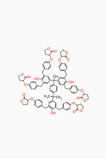 CC(C)(c1ccc(C(C)(c2cc(Cc3ccc(OC4CCOC4=O)cc3)c(O)c(Cc3ccc(OC4CCOC4=O)cc3)c2)c2cc(Cc3ccc(OC4CCOC4=O)cc3)c(O)c(Cc3ccc(OC4CCOC4=O)cc3)c2)cc1)c1cc(Cc2ccc(OC3CCOC3=O)cc2)c(O)c(Cc2ccc(OC3CCOC3=O)cc2)c1